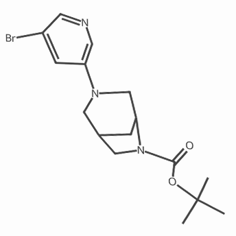 CC(C)(C)OC(=O)N1CC2CC1CN(c1cncc(Br)c1)C2